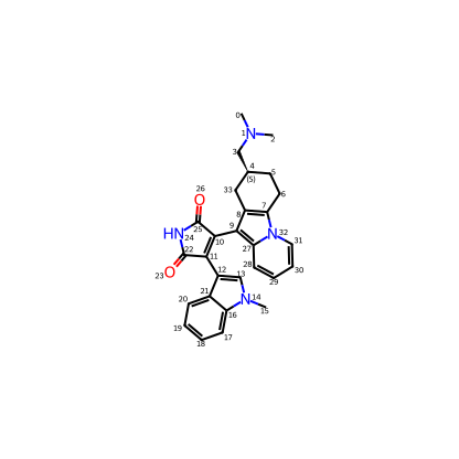 CN(C)C[C@H]1CCc2c(c(C3=C(c4cn(C)c5ccccc45)C(=O)NC3=O)c3ccccn23)C1